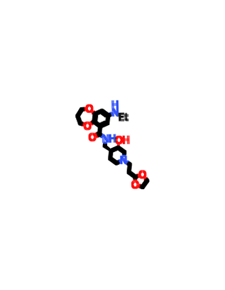 CCNc1cc2c(c(C(=O)NC[C@@H]3CCN(CCC4OCCO4)C[C@H]3O)c1)OCCCO2